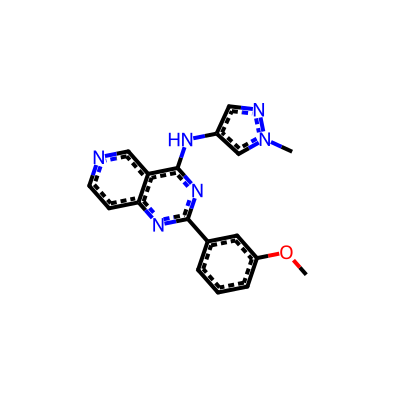 COc1cccc(-c2nc(Nc3cnn(C)c3)c3cnccc3n2)c1